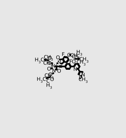 COc1ccc2c(c1F)C(=O)N(C[C@]1(C#Cc3ccc(-c4nc(-c5cnn(C)c5)ccc4OC(=O)C(C)(C)C)c(F)c3)C(=O)N(COC(=O)C(C)(C)C)C(=O)N1COC(=O)C(C)(C)C)C2